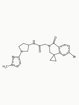 Cn1ccc(N2CCC(NC(=O)CN3CC4(CC4)c4cc(Br)ccc4C3=O)C2)n1